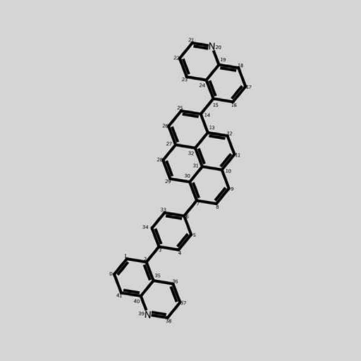 c1cc(-c2ccc(-c3ccc4ccc5c(-c6cccc7ncccc67)ccc6ccc3c4c65)cc2)c2cccnc2c1